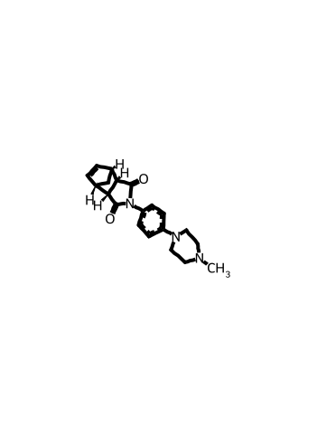 CN1CCN(c2ccc(N3C(=O)[C@@H]4[C@H](C3=O)[C@@H]3C=C[C@H]4C3)cc2)CC1